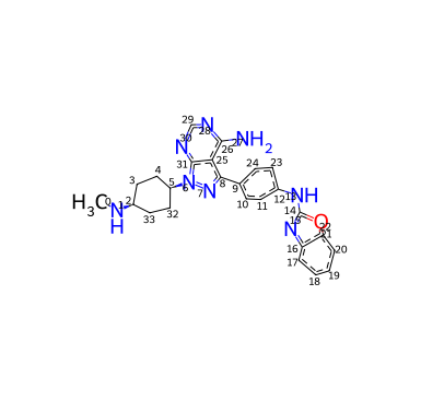 CN[C@H]1CC[C@@H](n2nc(-c3ccc(Nc4nc5ccccc5o4)cc3)c3c(N)ncnc32)CC1